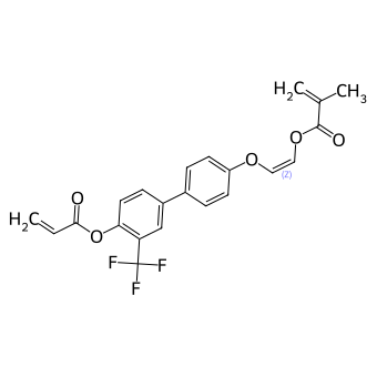 C=CC(=O)Oc1ccc(-c2ccc(O/C=C\OC(=O)C(=C)C)cc2)cc1C(F)(F)F